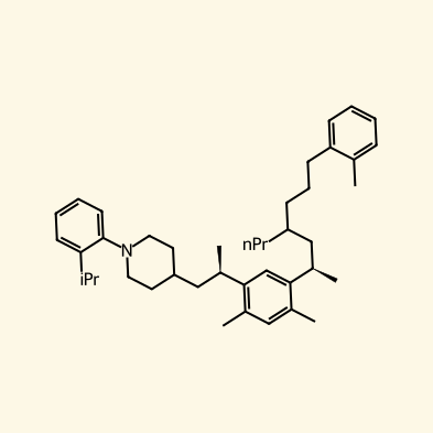 CCCC(CCCc1ccccc1C)C[C@@H](C)c1cc([C@H](C)CC2CCN(c3ccccc3C(C)C)CC2)c(C)cc1C